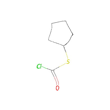 O=C(Cl)SC1CCCC1